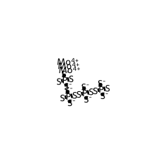 S=P([S-])([S-])[S-].S=P([S-])([S-])[S-].S=P([S-])([S-])[S-].S=P([S-])([S-])[S-].[Mo+4].[Mo+4].[Mo+4]